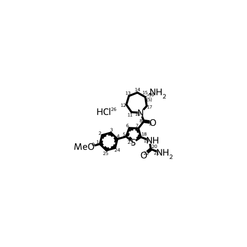 COc1ccc(-c2cc(C(=O)N3CCCC[C@H](N)C3)c(NC(N)=O)s2)cc1.Cl